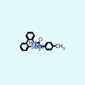 Cc1ccc(NC(=O)Nc2ccccc2-c2ccccc2S(=O)(=O)O)cc1